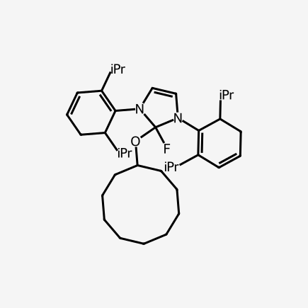 CC(C)C1=C(N2C=CN(C3=C(C(C)C)C=CCC3C(C)C)C2(F)OC2CCCCCCCCC2)C(C(C)C)CC=C1